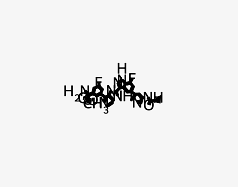 CS(=O)(=O)C(N)c1cc(F)cc(-c2nccc3[nH]c(-c4n[nH]c5c(F)cc(-c6cncc(NC(=O)C7CC7)c6)cc45)nc23)c1